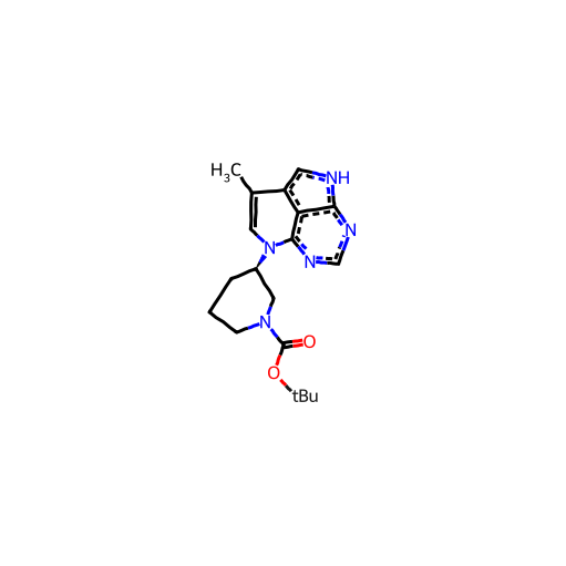 CC1=CN([C@@H]2CCCN(C(=O)OC(C)(C)C)C2)c2ncnc3[nH]cc1c23